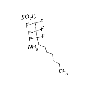 N.O=S(=O)(O)C(F)(F)C(F)(F)C(F)(F)CCCCCCC(F)(F)F